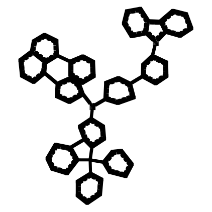 c1ccc(-c2cccc3cccc(-c4ccc(N(c5ccc(-c6cccc(-n7c8ccccc8c8ccccc87)c6)cc5)c5ccc6c(c5)-c5ccccc5C6(c5ccccc5)c5ccccc5)cc4)c23)cc1